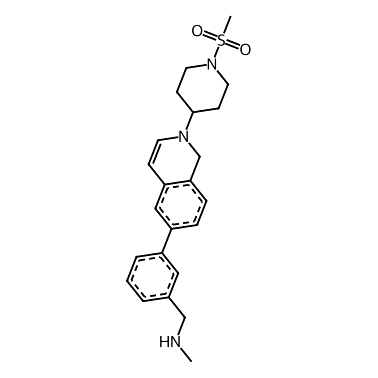 CNCc1cccc(-c2ccc3c(c2)C=CN(C2CCN(S(C)(=O)=O)CC2)C3)c1